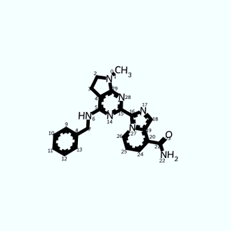 CN1CCc2c(NCc3ccccc3)nc(-c3ncc4c(C(N)=O)cccn34)nc21